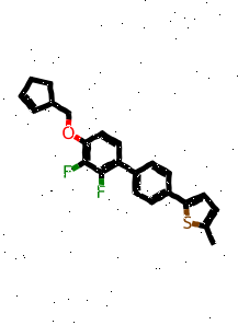 Cc1ccc(-c2ccc(-c3ccc(OCC4C=CCC4)c(F)c3F)cc2)s1